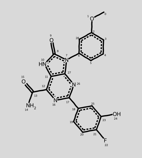 COc1cccc(-n2c(=O)[nH]c3c(C(N)=O)nc(-c4ccc(F)c(O)c4)nc32)c1